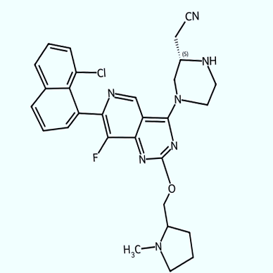 CN1CCCC1COc1nc(N2CCN[C@@H](CC#N)C2)c2cnc(-c3cccc4cccc(Cl)c34)c(F)c2n1